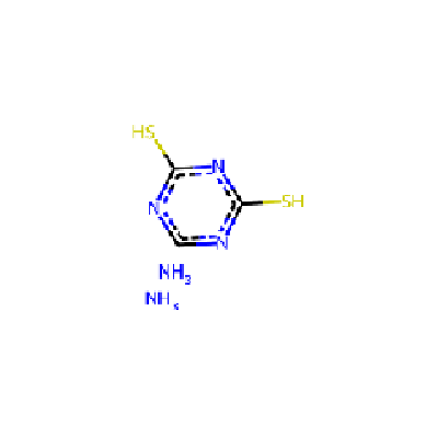 N.N.Sc1ncnc(S)n1